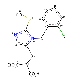 CCCSc1ncc(CC(C(=O)O)C(=O)OCC)n1Cc1ccccc1Cl